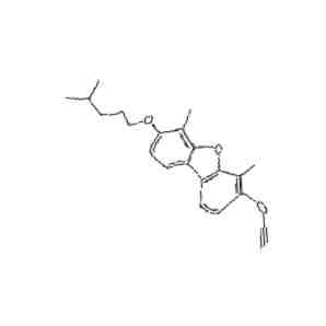 C#COc1ccc2c(oc3c(C)c(OCCCC(C)C)ccc32)c1C